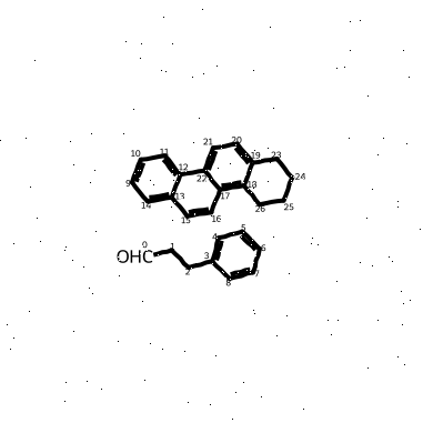 O=CCCc1ccccc1.c1ccc2c(c1)ccc1c3c(ccc12)CCCC3